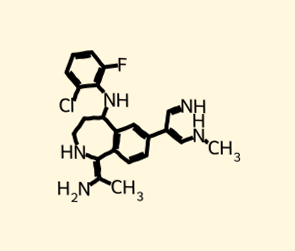 CN/C=C(\C=N)c1ccc2c(c1)C(Nc1c(F)cccc1Cl)CCN/C2=C(/C)N